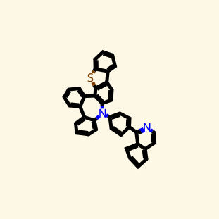 c1ccc2c(c1)-c1ccccc1N(c1ccc(-c3nccc4ccccc34)cc1)c1ccc3c(sc4ccccc43)c1-2